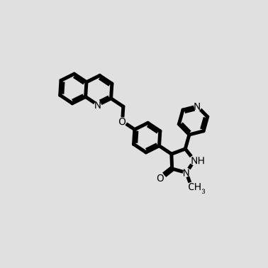 CN1NC(c2ccncc2)C(c2ccc(OCc3ccc4ccccc4n3)cc2)C1=O